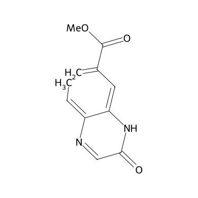 C=C(/C=c1/[nH]c(=O)cn/c1=C/C)C(=O)OC